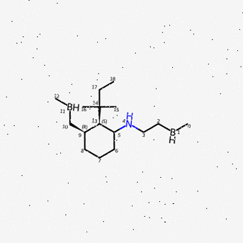 CBCCNC1CCC[C@@H](CBC)[C@H]1C(C)(C)CC